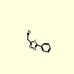 N#CCc1nnc(-c2ccccc2)s1